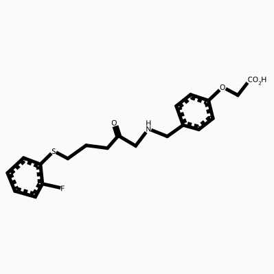 O=C(O)COc1ccc(CNCC(=O)CCCSc2ccccc2F)cc1